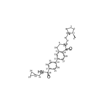 C[C@@H]1CCCN1CCN1CCc2cc(-c3ccc(C(=O)NCC4CC4)cc3)ccc2C1=O